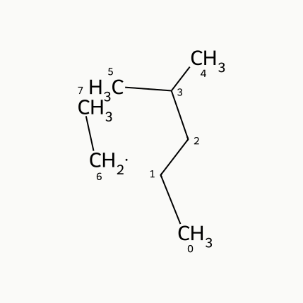 CCCC(C)C.[CH2]C